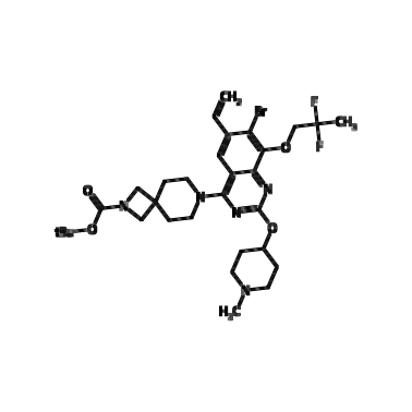 C=Cc1cc2c(N3CCC4(CC3)CN(C(=O)OC(C)(C)C)C4)nc(OC3CCN(C)CC3)nc2c(OCC(C)(F)F)c1Br